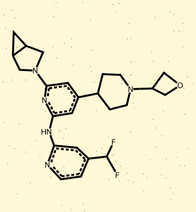 FC(F)c1ccnc(Nc2cc(C3CCN(C4COC4)CC3)cc(N3CC4CC4C3)n2)c1